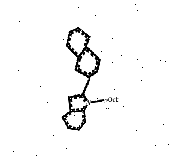 CCCCCCCCn1c(-c2ccc3ccccc3c2)cc2ccccc21